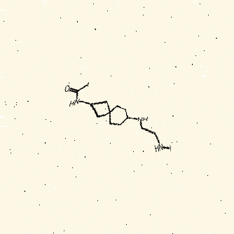 O=C(I)NC1CC2(CCC(NCCNI)CC2)C1